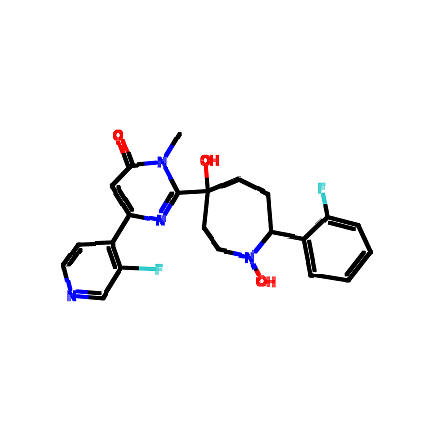 Cn1c(C2(O)CCC(c3ccccc3F)N(O)CC2)nc(-c2ccncc2F)cc1=O